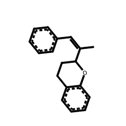 C/C(=C/c1ccccc1)C1CCc2ccccc2O1